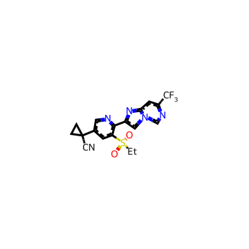 CCS(=O)(=O)c1cc(C2(C#N)CC2)cnc1-c1cn2cnc(C(F)(F)F)cc2n1